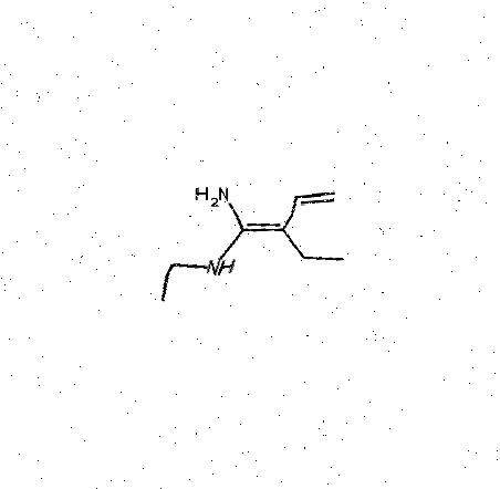 C=C/C(CC)=C(\N)NCC